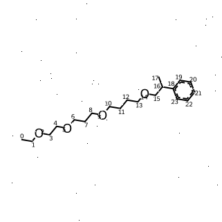 CCOCCOCCCOCCCCOCC(C)c1ccccc1